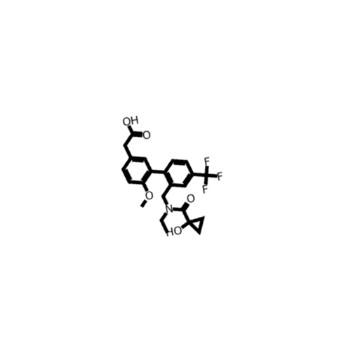 CCN(Cc1cc(C(F)(F)F)ccc1-c1cc(CC(=O)O)ccc1OC)C(=O)C1(O)CC1